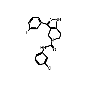 O=C(Nc1cccc(Cl)c1)N1CCc2[nH]nc(-c3cccc(F)c3)c2C1